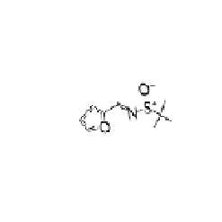 CC(C)(C)[S@@+]([O-])/N=C/c1ccco1